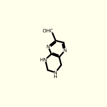 O=Cc1cnc2c(n1)NCNC2